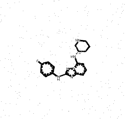 Fc1ccc(Nc2nc3cccc(N[C@H]4CCCNC4)n3n2)cc1